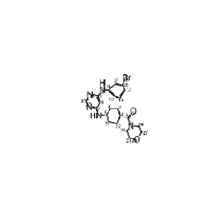 O=C([C@H]1CC[C@H](Nc2cc(Nc3cccc(Br)c3)ncn2)CC1)N1CCOCC1